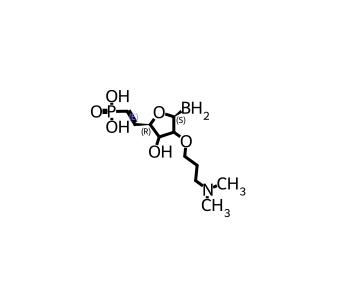 B[C@@H]1O[C@H](/C=C/P(=O)(O)O)C(O)C1OCCCN(C)C